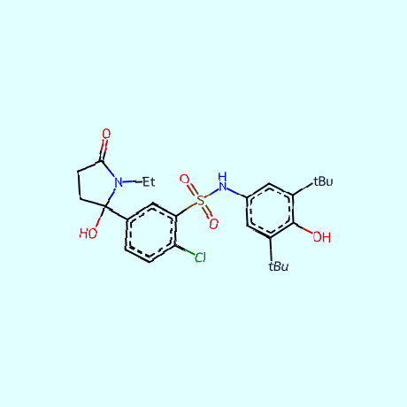 CCN1C(=O)CCC1(O)c1ccc(Cl)c(S(=O)(=O)Nc2cc(C(C)(C)C)c(O)c(C(C)(C)C)c2)c1